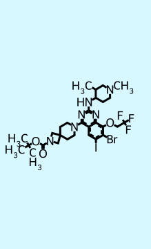 CC1CN(C)CCC1Nc1nc(N2CCC3(CC2)CN(C(=O)OC(C)(C)C)C3)c2cc(I)c(Br)c(OCC(F)(F)F)c2n1